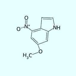 COc1cc([N+](=O)[O-])c2cc[nH]c2c1